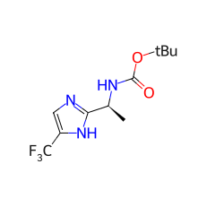 C[C@H](NC(=O)OC(C)(C)C)c1ncc(C(F)(F)F)[nH]1